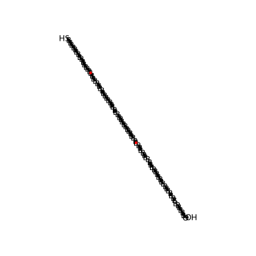 OOB=BB=BB=BB=BB=BB=BB=BB=BB=BB=BB=BB=BB=BB=BB=BB=BB=BB=BB=BB=BB=BB=BB=BB=BB=BB=BB=BB=BB=BB=BB=BB=BB=BB=BB=BB=BB=BS